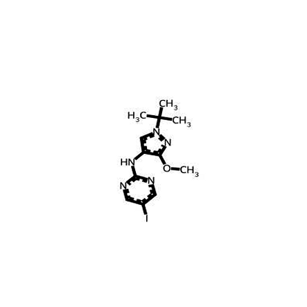 COc1nn(C(C)(C)C)cc1Nc1ncc(I)cn1